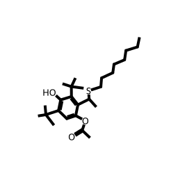 CCCCCCCCSC(C)c1c(OC(C)=O)cc(C(C)(C)C)c(O)c1C(C)(C)C